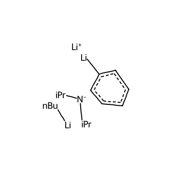 CC(C)[N-]C(C)C.[Li+].[Li][CH2]CCC.[Li][c]1ccccc1